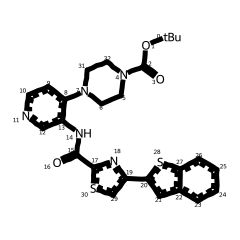 CC(C)(C)OC(=O)N1CCN(c2ccncc2NC(=O)c2nc(-c3cc4ccccc4s3)cs2)CC1